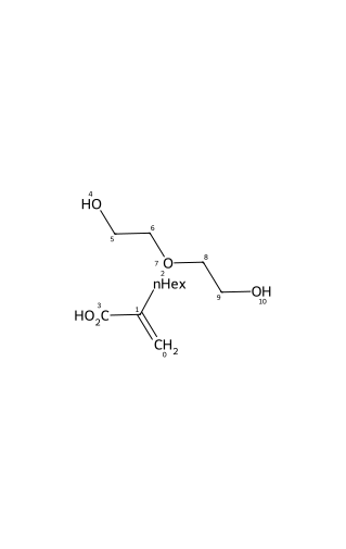 C=C(CCCCCC)C(=O)O.OCCOCCO